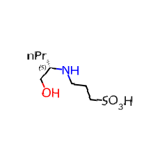 CCC[C@@H](CO)NCCCS(=O)(=O)O